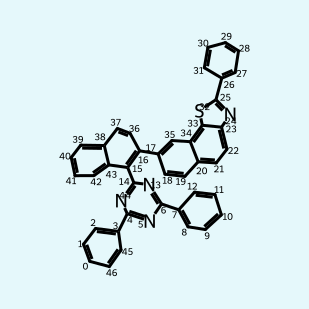 c1ccc(-c2nc(-c3ccccc3)nc(-c3c(-c4ccc5ccc6nc(-c7ccccc7)sc6c5c4)ccc4ccccc34)n2)cc1